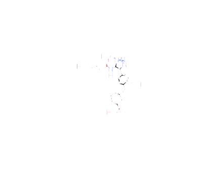 CCCOC(=O)Nc1c(-c2ccc(O[C@H]3CCC[C@H](C(=O)O)C3)c(C)n2)nnn1C